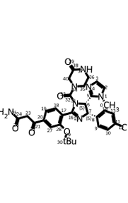 Cn1ccnc1[C@@H]1[C@H](c2ccc(Cl)cc2)N=C(c2ccc(C(=O)CC(N)=O)cc2OC(C)(C)C)N1C(=O)N1CCNC(=O)C1